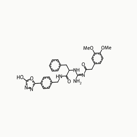 COc1ccc(CC(=O)N=C(N)NC(Cc2ccccc2)C(=O)NCc2ccc(-c3nnc(O)o3)cc2)cc1OC